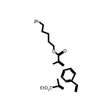 C=C(C)C(=O)OCC.C=C(C)C(=O)OCCCCCC(C)C.C=Cc1ccccc1